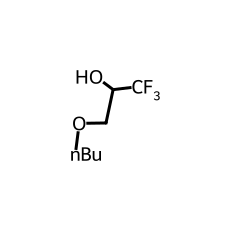 CCCCOCC(O)C(F)(F)F